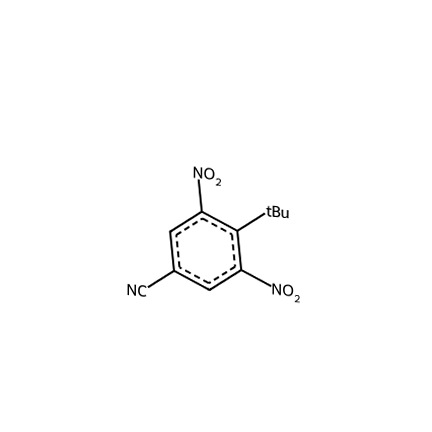 CC(C)(C)c1c([N+](=O)[O-])cc(C#N)cc1[N+](=O)[O-]